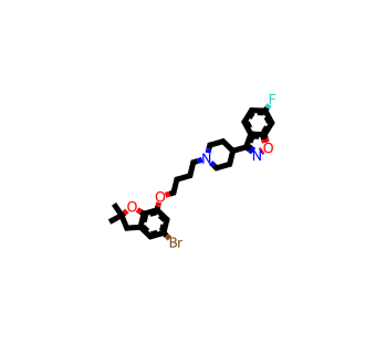 CC1(C)Cc2cc(Br)cc(OCCCCN3CCC(c4noc5cc(F)ccc45)CC3)c2O1